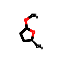 COC1CC[C@@H](C)O1